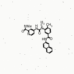 CNC(=O)c1cc(NC(=O)N(C)c2cc(C(=O)Nc3ccc4ccccc4c3)ccc2C)ccn1